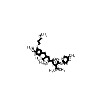 COCCCOc1cc(CC(CC(N)C(O)CC(C(=O)Nc2ccc(C)cn2)C(C)C)C(C)C)ccc1OC